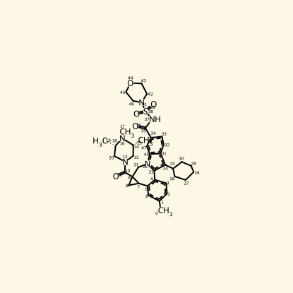 Cc1ccc2c(c1)C1CC1(C(=O)N1C[C@@H](C)N(C)[C@@H](C)C1)Cn1c-2c(C2CCCCC2)c2ccc(C(=O)NS(=O)(=O)N3CCOCC3)cc21